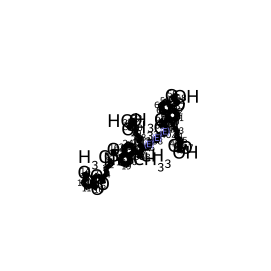 CN(CCCC(=O)ON1C(=O)CCC1=O)[S+]([O-])c1cccc2c3c(ccc12)[N+](CCCS(=O)(=O)O)=C(/C=C/C=C/C=C1/N(CCCS(=O)(=O)O)c2ccc4c(S(=O)(=O)O)cccc4c2C1(C)C)C3(C)C